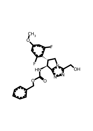 COc1cc(F)c([C@@H]2Cn3c(CO)nnc3[C@H]2NC(=O)OCc2ccccc2)c(F)c1